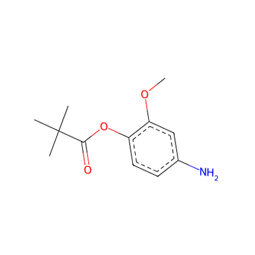 COc1cc(N)ccc1OC(=O)C(C)(C)C